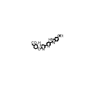 CCOc1ccc2nc(-c3ccc(-c4cnc(OC5CCC(CC(=O)O)CC5)nc4)nc3)[nH]c2c1